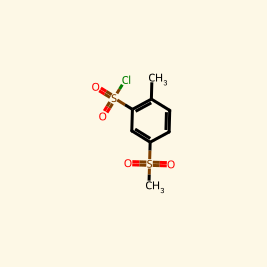 Cc1ccc(S(C)(=O)=O)cc1S(=O)(=O)Cl